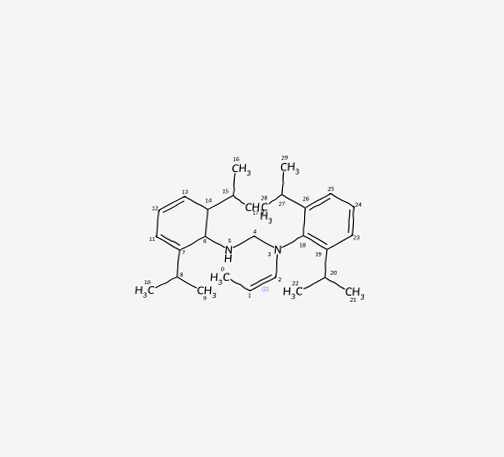 C/C=C\N(CNC1C(C(C)C)=CC=CC1C(C)C)c1c(C(C)C)cccc1C(C)C